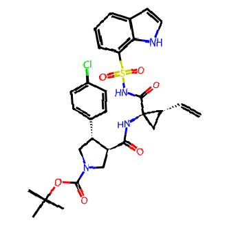 C=C[C@@H]1C[C@]1(NC(=O)[C@H]1CN(C(=O)OC(C)(C)C)C[C@@H]1c1ccc(Cl)cc1)C(=O)NS(=O)(=O)c1cccc2cc[nH]c12